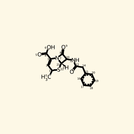 CC1C=C(C(=O)O)N2C(=O)C(NC(=O)Cc3ccccc3)[C@@H]2S1